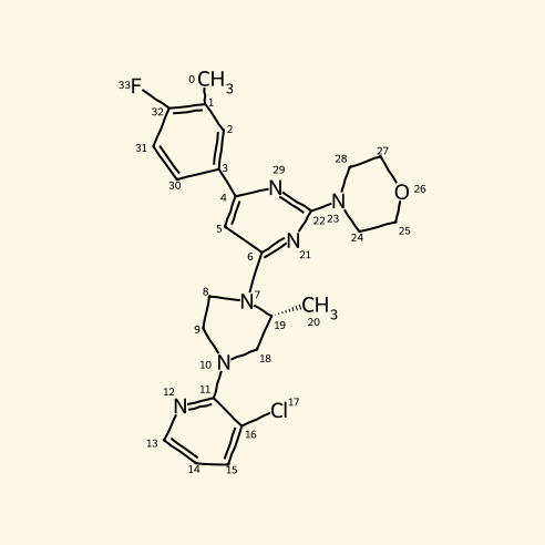 Cc1cc(-c2cc(N3CCN(c4ncccc4Cl)C[C@H]3C)nc(N3CCOCC3)n2)ccc1F